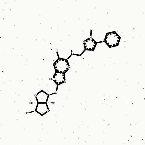 Cn1nc(CNc2nc3nc(O[C@@H]4CO[C@H]5[C@@H]4OC[C@H]5O)[nH]c3cc2Cl)cc1-c1ccccc1